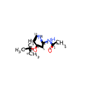 CC(=O)Nc1cc(OC(C)(C)C)ccn1